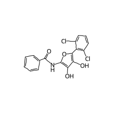 O=C(Nc1oc(-c2c(Cl)cccc2Cl)c(O)c1O)c1ccccc1